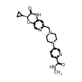 CNC(=O)c1ccc(N2CCN(Cc3cc4c(cn3)O[C@@H](C3CC3)C(=O)N4)CC2)cn1